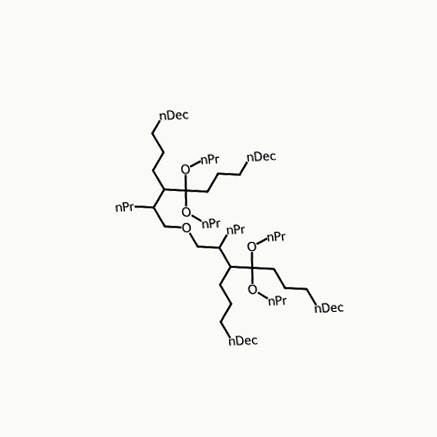 CCCCCCCCCCCCCC(C(CCC)COCC(CCC)C(CCCCCCCCCCCCC)C(CCCCCCCCCCCCC)(OCCC)OCCC)C(CCCCCCCCCCCCC)(OCCC)OCCC